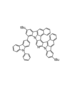 CC(C)(C)c1ccc2c(c1)c1cc3ccccc3c3c4c5c6c7ccccc7cc7c8cc(C(C)(C)C)cc(-c9ccc%10c(c9)c9ccccc9n%10-c9ccccc9)c8n(c5cnc4n2c13)c76